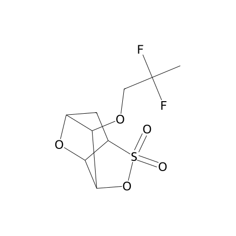 CC(F)(F)COC1C2CC3C(O2)C1OS3(=O)=O